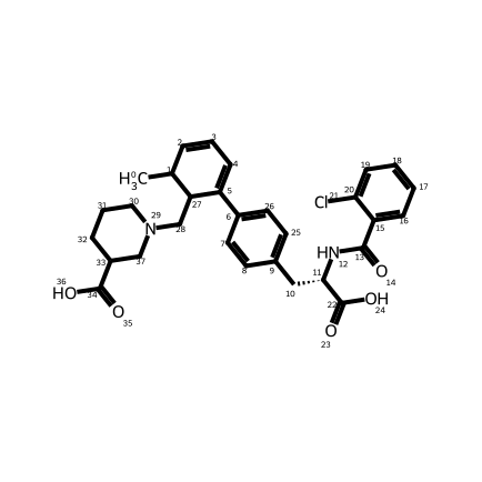 CC1C=CC=C(c2ccc(C[C@H](NC(=O)c3ccccc3Cl)C(=O)O)cc2)C1CN1CCCC(C(=O)O)C1